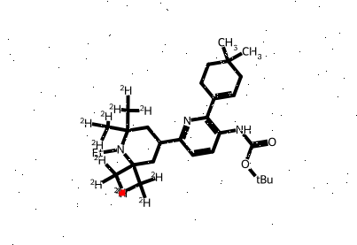 [2H]C([2H])([2H])C1(C([2H])([2H])[2H])CC(c2ccc(NC(=O)OC(C)(C)C)c(C3=CCC(C)(C)CC3)n2)CC(C([2H])([2H])[2H])(C([2H])([2H])[2H])N1CC